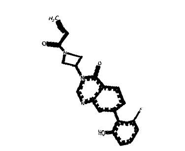 C=CC(=O)N1CC(n2cnc3cc(-c4c(O)cccc4F)ccc3c2=O)C1